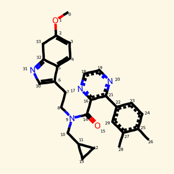 COC1=CC=C2C(CCN(CC3CC3)C(=O)c3nccnc3-c3ccc(C)c(C)c3)=CN=C2C1